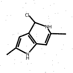 CC1=Cc2[nH]c(C)cc2C(Cl)N1